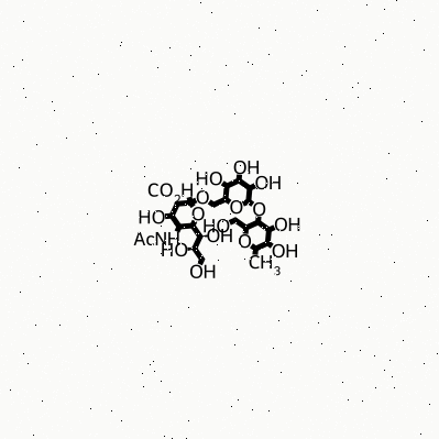 CC(=O)NC1C(O)CC(OCC2OC(OC3C(CO)OC(C)C(O)C3O)C(O)C(O)C2O)(C(=O)O)OC1[C@H](O)[C@H](O)CO